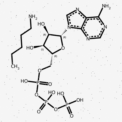 CCCCCN.Nc1ncnc2c1ncn2[C@@H]1O[C@H](COP(=O)(O)OP(=O)(O)OP(=O)(O)O)[C@@H](O)[C@H]1O